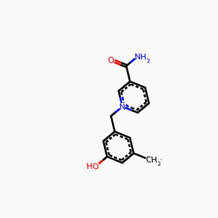 [CH2]c1cc(O)cc(C[n+]2cccc(C(N)=O)c2)c1